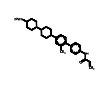 C=CC(=O)Nc1ccc(-c2ccc(C3CCC(C4CCC(CCCCC)CC4)CC3)cc2C)cc1